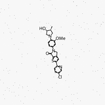 COc1cc(N2Cc3cc(-c4ccc(Cl)cn4)sc3C2=O)ccc1N1C[C@@H](O)[C@@H](C)C1